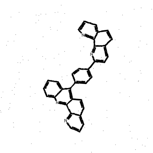 c1cnc2c(c1)ccc1ccc(-c3ccc(-c4c5ccccc5nc5c4ccc4cccnc45)cc3)nc12